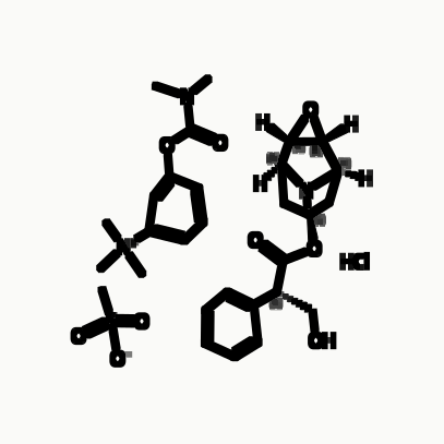 CN(C)C(=O)Oc1cccc([N+](C)(C)C)c1.CN1[C@@H]2C[C@@H](OC(=O)[C@H](CO)c3ccccc3)C[C@H]1[C@@H]1O[C@@H]12.CS(=O)(=O)[O-].Cl